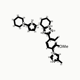 CC=C(/C=C\C(=C(/C)OC)n1cnc(C)c1)c1nc2n(n1)CCC[C@H]2c1ccc(N2CCCCC2)s1